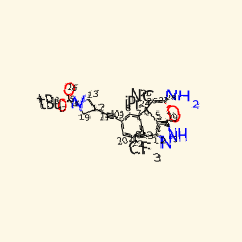 Cc1n[nH]c2c1C(c1cc(C#CC3CN(C(=O)OC(C)(C)C)C3)cc(C(F)(F)F)c1)(C(C)C)C(C#N)=C(N)O2